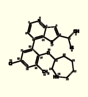 CCC(O)c1cc2nccc(-c3cc(Cl)cc(C)c3OC3CCCCNC3)c2s1